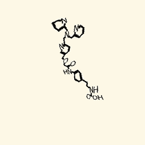 O=C(O)NCCc1ccc(NC(=O)COCc2ccc(CN(Cc3ccccn3)Cc3ccccn3)nc2)cc1